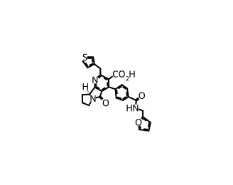 O=C(NCc1ccco1)c1ccc(-c2c(C(=O)O)c(Cc3ccsc3)nc3c2C(=O)N2CCC[C@@H]32)cc1